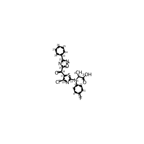 CC(C(=O)O)N(c1ccc(F)cc1)c1nc(Cl)c(C(=O)c2nc(-c3ccccc3)no2)s1